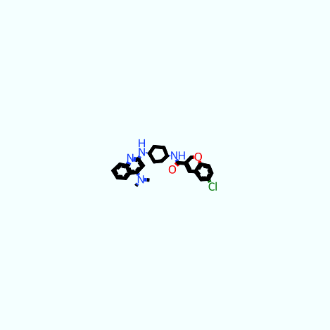 CN(C)c1cc(N[C@H]2CC[C@@H](NC(=O)C3=Cc4cc(Cl)ccc4OC3)CC2)nc2ccccc12